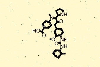 COc1cc(CC(=O)C(C2CCCN2)N(C)c2ccc(C(=O)O)cc2)ccc1NC(=O)Nc1ccccc1C